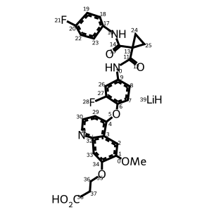 COc1cc2c(Oc3ccc(NC(=O)C4(C(=O)Nc5ccc(F)cc5)CC4)cc3F)ccnc2cc1OCCC(=O)O.[LiH]